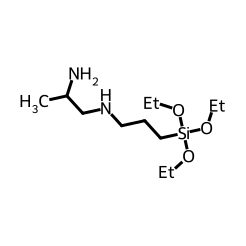 CCO[Si](CCCNCC(C)N)(OCC)OCC